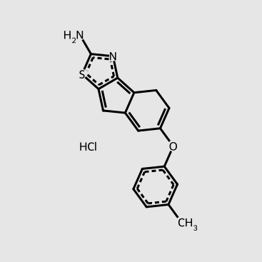 Cc1cccc(OC2=CCC3=c4nc(N)sc4=CC3=C2)c1.Cl